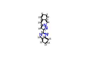 c1ccc2cn3nc(-c4ncc5ccccc5n4)cc3cc2c1